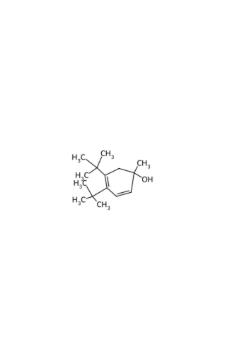 CC1(O)C=CC(C(C)(C)C)=C(C(C)(C)C)C1